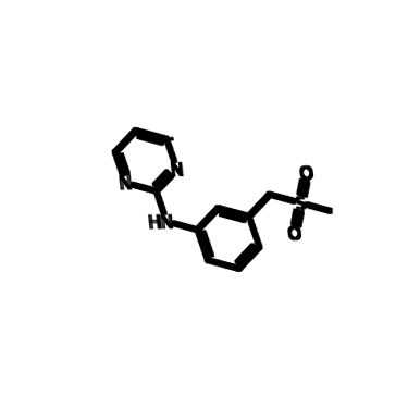 CS(=O)(=O)Cc1cccc(Nc2n[c]ccn2)c1